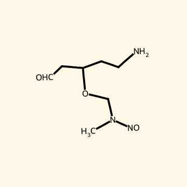 CN(COC(CC=O)CCN)N=O